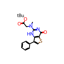 CN(CC(=O)OC(C)(C)C)c1nc(=O)c2scc(-c3ccccc3)c2[nH]1